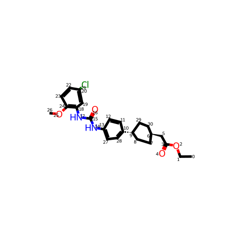 CCOC(=O)C[C@H]1CC[C@H](c2ccc(NC(=O)Nc3cc(Cl)ccc3OC)cc2)CC1